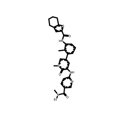 CCN(C)C(=O)c1ccc(Nc2cc(-c3cccc(NC(=O)c4cc5c(s4)CCCC5)c3C)cn(C)c2=O)nc1